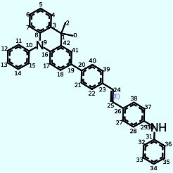 CC1(C)c2ccccc2N(c2ccccc2)c2ccc(-c3ccc(/C=C/c4ccc(Nc5ccccc5)cc4)cc3)cc21